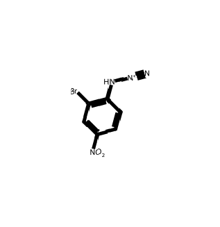 N#[N+]Nc1ccc([N+](=O)[O-])cc1Br